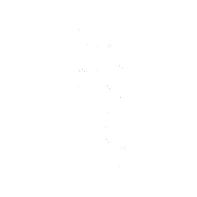 CN([SH]=O)C1CC2(C1)CN(c1ncnc3c(Cl)cn(C)c13)C2